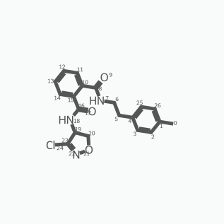 Cc1ccc(CCNC(=O)c2ccccc2C(=O)NC2CON=C2Cl)cc1